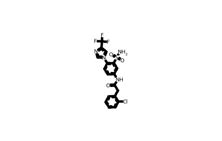 NS(=O)(=O)c1cc(NC(=O)Cc2ccccc2Cl)ccc1-n1cnc(C(F)(F)F)c1